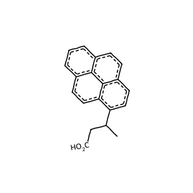 CC(CC(=O)O)c1ccc2ccc3cccc4ccc1c2c34